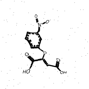 O=C(O)/C=C(\Oc1cccc([N+](=O)[O-])c1)C(=O)O